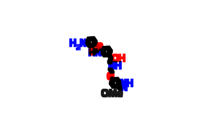 COc1n[nH]c2cc(OCCNC[C@H](O)c3cccc(NS(=O)(=O)c4cccc(N)c4)c3)ccc12